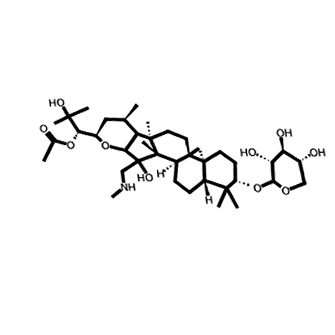 CNCC1(O)C2O[C@@H]([C@H](OC(C)=O)C(C)(C)O)C[C@@H](C)C2[C@@]2(C)CC[C@@]34C[C@@]35CC[C@H](OC3OC[C@@H](O)[C@H](O)[C@H]3O)C(C)(C)[C@@H]5CC[C@H]4[C@]12C